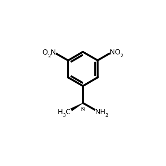 C[C@H](N)c1cc([N+](=O)[O-])cc([N+](=O)[O-])c1